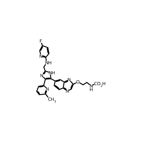 Cc1cccc(-c2nc(CNc3ccc(F)cn3)[nH]c2-c2ccc3ncc(OCCNC(=O)O)nc3c2)n1